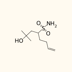 C=CCCC(CC(C)(C)O)S(N)(=O)=O